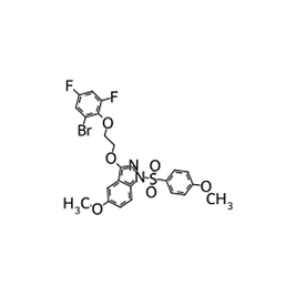 COc1ccc(S(=O)(=O)n2nc(OCCOc3c(F)cc(F)cc3Br)c3cc(OC)ccc32)cc1